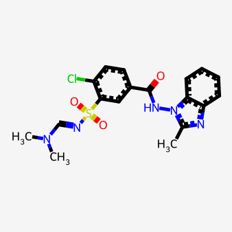 Cc1nc2ccccc2n1NC(=O)c1ccc(Cl)c(S(=O)(=O)N=CN(C)C)c1